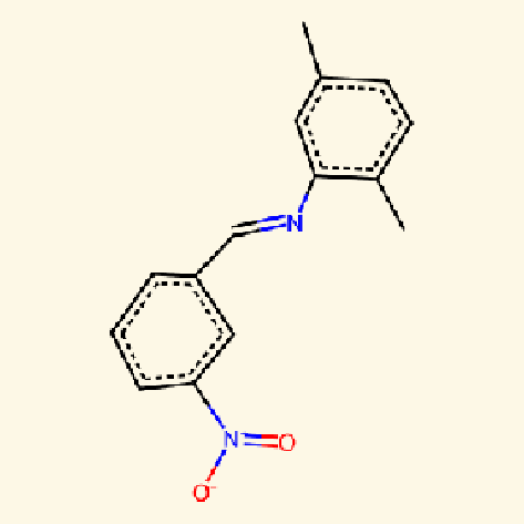 Cc1ccc(C)c(N=Cc2cccc([N+](=O)[O-])c2)c1